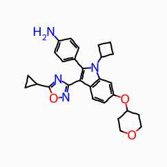 Nc1ccc(-c2c(-c3noc(C4CC4)n3)c3ccc(OC4CCOCC4)cc3n2C2CCC2)cc1